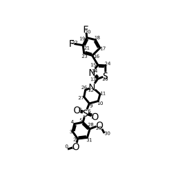 COc1ccc(S(=O)(=O)C2CCN(c3nc(-c4ccc(F)c(F)c4)cs3)CC2)c(OC)c1